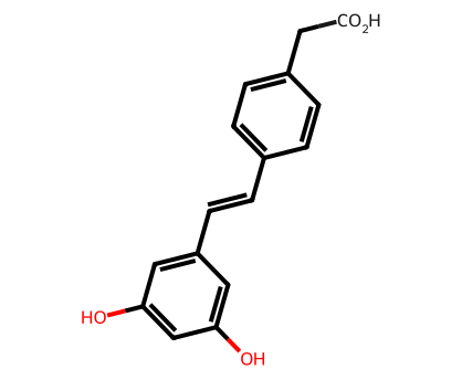 O=C(O)Cc1ccc(C=Cc2cc(O)cc(O)c2)cc1